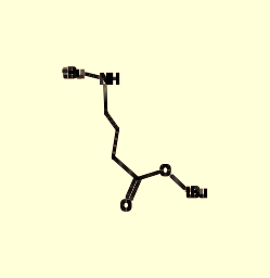 CC(C)(C)NCCCC(=O)OC(C)(C)C